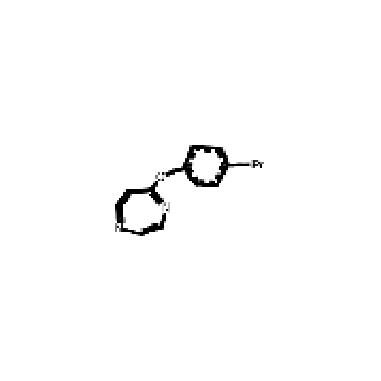 CC(C)c1ccc(OC2=NC=CN=C=C2)cc1